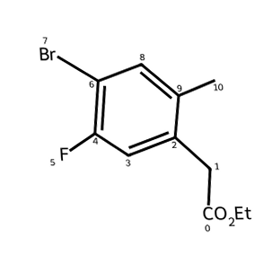 CCOC(=O)Cc1cc(F)c(Br)cc1C